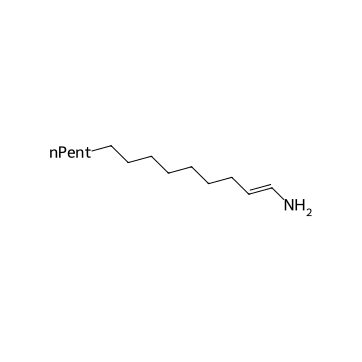 CCCCCCCCCCCCC=CN